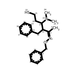 CC(=NOCc1ccccc1)C(Cc1ccccc1)C(CCS)N(C)C